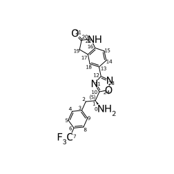 N[C@@H](Cc1ccc(C(F)(F)F)cc1)c1nc(-c2ccc3c(c2)CC(=O)N3)no1